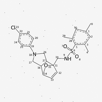 Cc1cc(C)c(S(=O)(=O)NCC23C=CC(O2)C2CN(c4ccc(Cl)cc4)CC23)c(C)c1